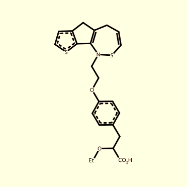 CCOC(Cc1ccc(OCCN2SC=CCC3=C2c2sccc2C3)cc1)C(=O)O